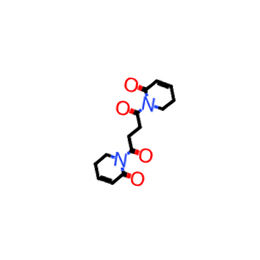 O=C1C=CCCN1C(=O)CCC(=O)N1CCC=CC1=O